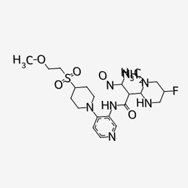 COCCS(=O)(=O)C1CCN(c2ccncc2NC(=O)C(C(N)N=O)C2NCC(F)CN2C)CC1